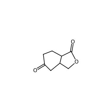 O=C1CCC2C(=O)OCC2C1